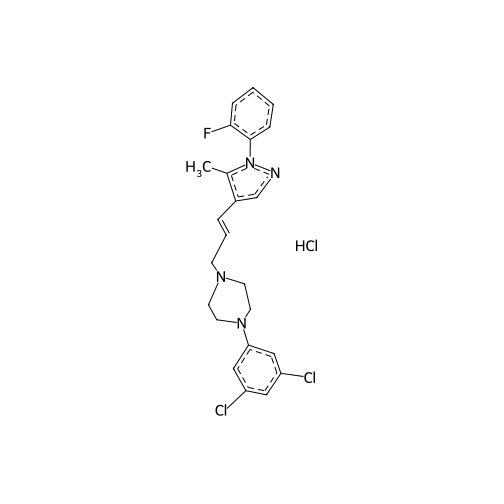 Cc1c(C=CCN2CCN(c3cc(Cl)cc(Cl)c3)CC2)cnn1-c1ccccc1F.Cl